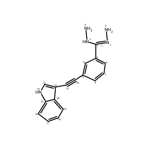 N/N=C(\NN)c1cccc(C#Cc2c[nH]c3ccccc23)c1